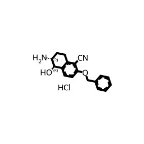 Cl.N#Cc1c(OCc2ccccc2)ccc2c1CC[C@@H](N)[C@@H]2O